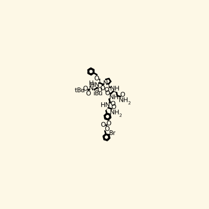 CC[C@H](C)[C@H](NC(=O)OC(C)(C)C)C(=O)N[C@@H](COCc1ccccc1)C(=O)N1CCC[C@H]1C(=O)N[C@@H](CCC(N)=O)C(=O)NCC(=O)N[C@@H](Cc1ccc(OC(=O)OCc2ccccc2Br)cc1)C(N)=O